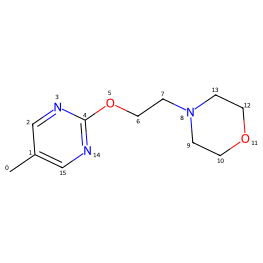 Cc1cnc(OCCN2CCOCC2)nc1